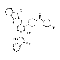 CCc1c(C(=O)Nc2ccccc2OC)ccc(CN2C(=O)c3ccccc3C2=O)c1N1CCC(C(=O)c2ccc(F)cc2)CC1